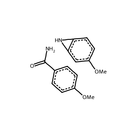 COc1ccc(C(N)=O)cc1.COc1ccc2c(c1)N2